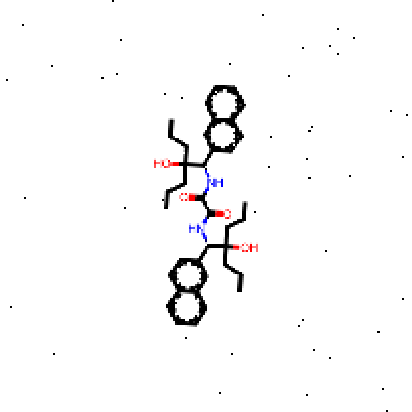 CCCC(O)(CCC)[C@H](NC(=O)C(=O)N[C@H](c1ccc2ccccc2c1)C(O)(CCC)CCC)c1ccc2ccccc2c1